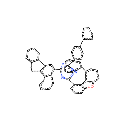 c1ccc(-c2ccc(-c3nc(-c4cc5c(c6ccccc46)Cc4ccccc4-5)nc(-c4cccc5oc6cccc(-c7ccccc7)c6c45)n3)cc2)cc1